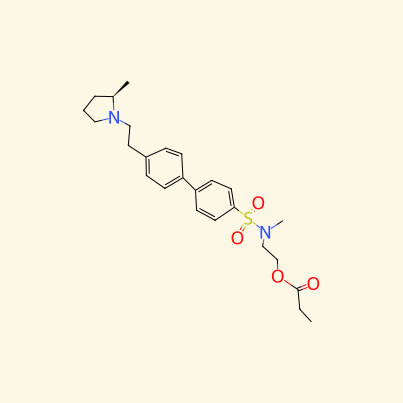 CCC(=O)OCCN(C)S(=O)(=O)c1ccc(-c2ccc(CCN3CCC[C@H]3C)cc2)cc1